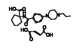 CCCN1CCN(c2ccc(C(=O)NC3(C(=O)O)CCCCC3)cc2)CC1.O=C(O)/C=C/C(=O)O